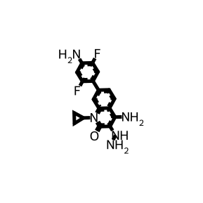 NNc1c(N)c2ccc(-c3cc(F)c(N)cc3F)cc2n(C2CC2)c1=O